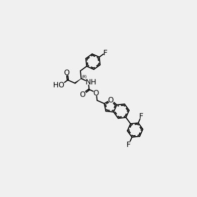 O=C(O)C[C@@H](Cc1ccc(F)cc1)NC(=O)OCc1cc2cc(-c3cc(F)ccc3F)ccc2o1